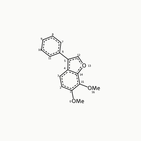 COc1ccc2c(-c3ccccc3)coc2c1OC